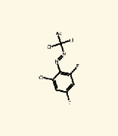 CC(=O)C(Cl)(Cl)N=Nc1c(F)cc(Cl)cc1Cl